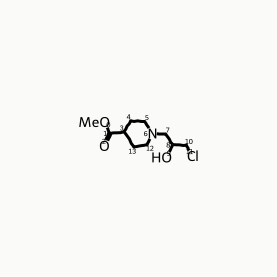 COC(=O)C1CCN(CC(O)CCl)CC1